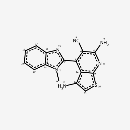 Cn1c(-c2c(C#N)c(N)nc3scc(N)c23)nc2ccccc21